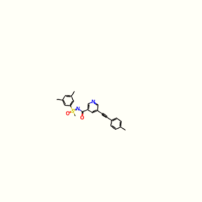 Cc1ccc(C#Cc2cncc(C(=O)N=S(C)(=O)c3cc(C)cc(C)c3)c2)cc1